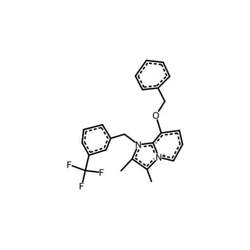 Cc1c(C)[n+]2cccc(OCc3ccccc3)c2n1Cc1cccc(C(F)(F)F)c1